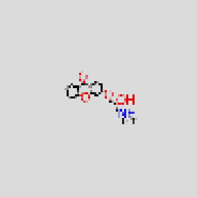 CC(C)NCC(O)COc1ccc2c(=O)c3ccccc3oc2c1